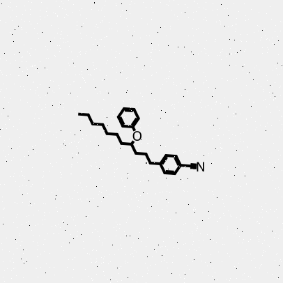 CCCCCCCC(CC[CH]c1ccc(C#N)cc1)Oc1ccccc1